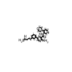 BNCCCc1cccc(-c2cnc(N)c(C(=O)Nc3cnccc3N3CCOCC3)n2)c1